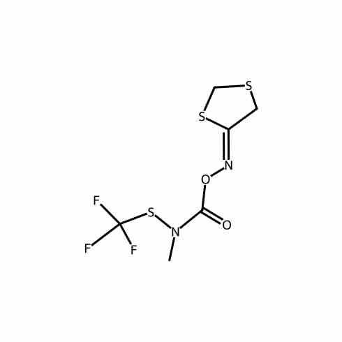 CN(SC(F)(F)F)C(=O)ON=C1CSCS1